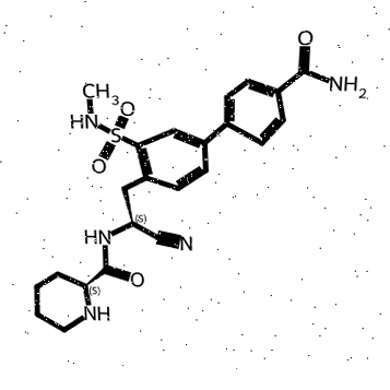 CNS(=O)(=O)c1cc(-c2ccc(C(N)=O)cc2)ccc1C[C@@H](C#N)NC(=O)[C@@H]1CCCCN1